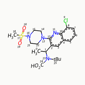 CC(c1cc2cccc(Cl)c2nc1N1CCN(S(C)(=O)=O)CC1)N(C(=O)O)C(C)(C)C